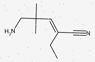 CC/C(C#N)=C\C(C)(C)CN